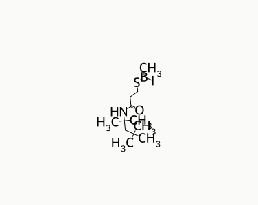 CB(I)SCCC(=O)NC(C)(C)CC(C)(C)C